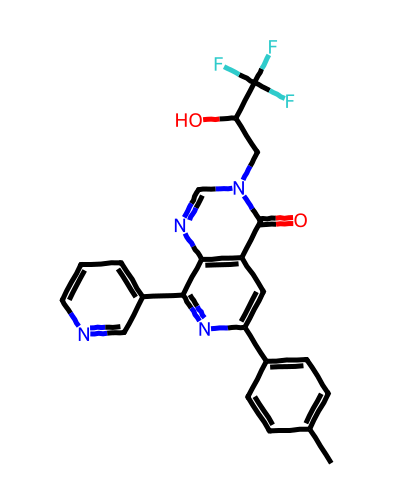 Cc1ccc(-c2cc3c(=O)n(CC(O)C(F)(F)F)cnc3c(-c3cccnc3)n2)cc1